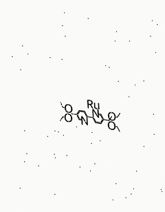 CCOC(OCC)c1ccc(-c2ccc(C(OCC)OCC)cn2)nc1.[Ru]